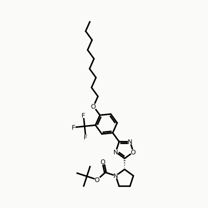 CCCCCCCCCOc1ccc(-c2noc([C@@H]3CCCN3C(=O)OC(C)(C)C)n2)cc1C(F)(F)F